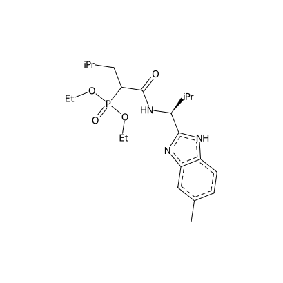 CCOP(=O)(OCC)C(CC(C)C)C(=O)N[C@H](c1nc2cc(C)ccc2[nH]1)C(C)C